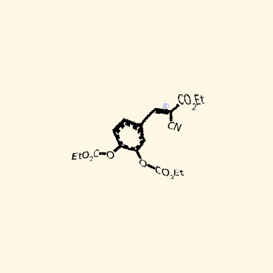 CCOC(=O)Oc1ccc(/C=C(\C#N)C(=O)OCC)cc1OC(=O)OCC